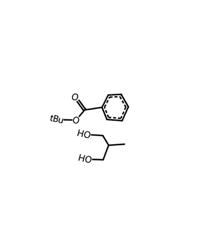 CC(C)(C)OC(=O)c1ccccc1.CC(CO)CO